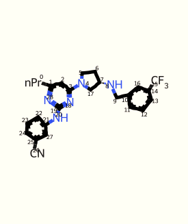 CCCc1cc(N2CC[C@H](NCc3cccc(C(F)(F)F)c3)C2)nc(Nc2cccc(C#N)c2)n1